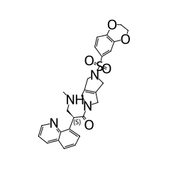 CNC[C@@H](C(=O)N1CC2=C(C1)CN(S(=O)(=O)c1ccc3c(c1)OCCO3)C2)c1cccc2cccnc12